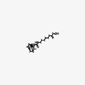 O=C(NCCCCCCC(F)CO)NC12CC3CC(CC(C3)C1)C2